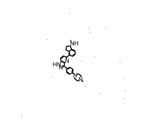 CNC1CCc2c(-c3ccc4[nH]nc(-c5ccc(N6CCN(C)CC6)cc5)c4n3)cccc21